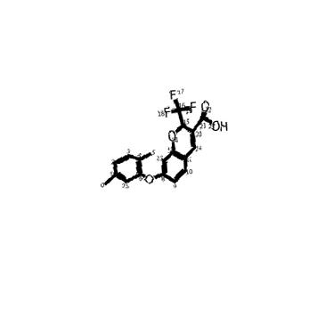 Cc1ccc(C)c(Oc2ccc3c(c2)OC(C(F)(F)F)C(C(=O)O)=C3)c1